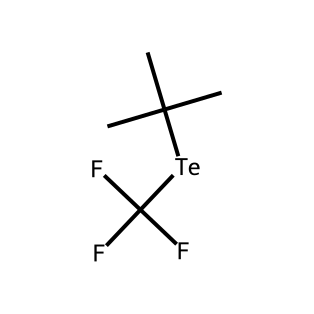 CC(C)(C)[Te]C(F)(F)F